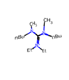 CCCCN(C)C(N(C)CCCC)=[N+](CC)CC